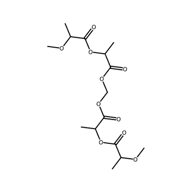 COC(C)C(=O)OC(C)C(=O)OCOC(=O)C(C)OC(=O)C(C)OC